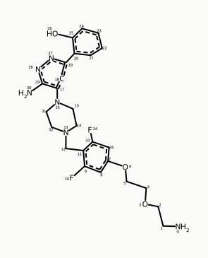 NCCOCCOc1cc(F)c(CN2CCN(c3cc(-c4ccccc4O)nnc3N)CC2)c(F)c1